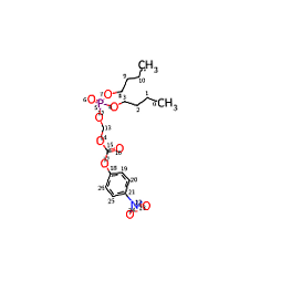 CCCCOP(=O)(OCCCC)OCOC(=O)Oc1ccc([N+](=O)[O-])cc1